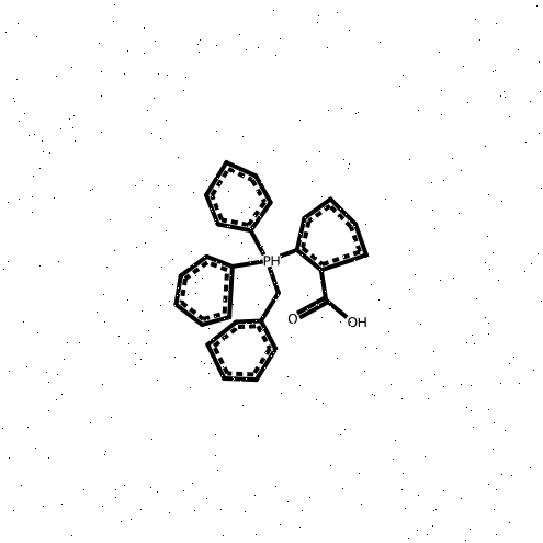 O=C(O)c1ccccc1[PH](Cc1ccccc1)(c1ccccc1)c1ccccc1